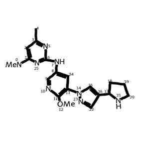 CNc1cc(C)nc(Nc2cnc(OC)c(-n3cc(C4CCCN4)cn3)c2)n1